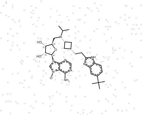 CC(C)N(C[C@H]1O[C@@H](n2c[n+]([O-])c3c(N)ncnc32)[C@H](O)[C@@H]1O)[C@H]1C[C@@H](CCc2nc3cc(C(C)(C)C)ccc3[nH]2)C1